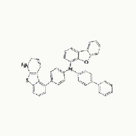 C1=Cc2c(sc3cccc(-c4ccc(N(c5ccc(-c6ccccc6)cc5)c5cccc6c5oc5ccccc56)cc4)c23)NC1